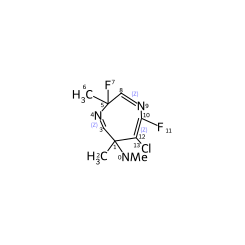 CNC1(C)/C=N\C(C)(F)/C=N\C(F)=C/1Cl